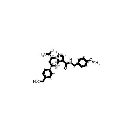 CCc1ccc([C@H]2C[C@@H](C(C)C)n3ncc(C(=O)NCc4ccc(OC)cc4)c3N2)cc1